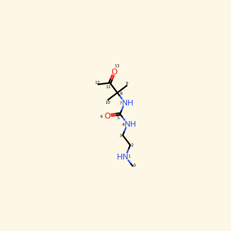 CNCCNC(=O)NC(C)(C)C(C)=O